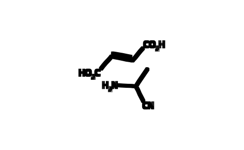 CC(N)C#N.O=C(O)/C=C/C(=O)O